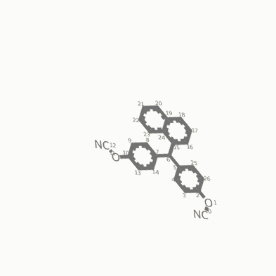 N#COc1ccc(C(c2ccc(OC#N)cc2)c2cccc3ccccc23)cc1